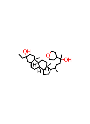 CC[C@]1(O)CC[C@@]2(C)C(=CC[C@H]3[C@@H]4CC[C@H]([C@H](C)CCC(C)(O)C5CCOCC5)[C@@]4(C)CC[C@@H]32)C1